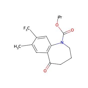 Cc1cc2c(cc1C(F)(F)F)N(C(=O)OC(C)C)CCCC2=O